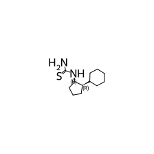 NC(=S)N[C@@H]1CCC[C@@H]1C1CCCCC1